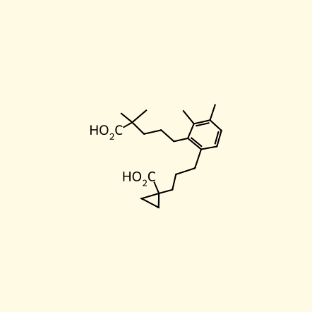 Cc1ccc(CCCC2(C(=O)O)CC2)c(CCCC(C)(C)C(=O)O)c1C